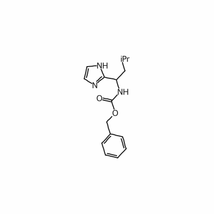 CC(C)CC(NC(=O)OCc1ccccc1)c1ncc[nH]1